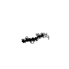 C[N+](C)(C)CCOC(=O)OC[C@@H]1CC(c2ccc(-c3ccc(N4C[C@H](Cn5ccnn5)OC4=O)cc3F)cn2)=NO1.[Cl-]